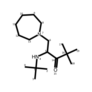 CC(C)(C)NC(CN1CCCCCC1)C(=O)C(C)(C)C